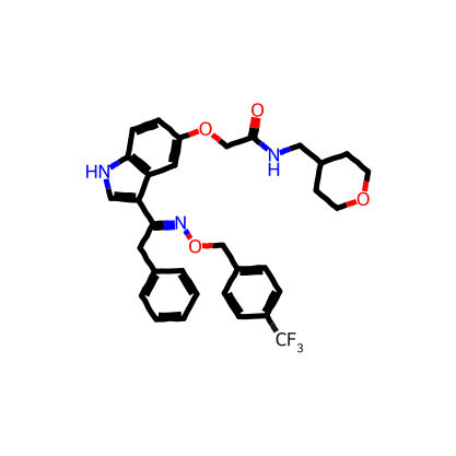 O=C(COc1ccc2[nH]cc(C(Cc3ccccc3)=NOCc3ccc(C(F)(F)F)cc3)c2c1)NCC1CCOCC1